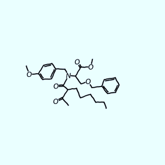 CCCCCCC(C(C)=O)C(=O)N(Cc1ccc(OC)cc1)C(COCc1ccccc1)C(=O)OC